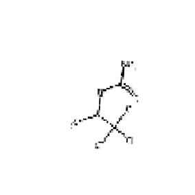 CC(OC(N)=O)C(Cl)(Cl)Cl